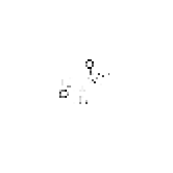 CC(C)(C)N(C(=O)O)C(CNC(=O)Cn1nc(-c2ccc(Cl)cc2)n(C[C@H](O)C(F)(F)F)c1=O)c1ccccc1C(F)(F)F